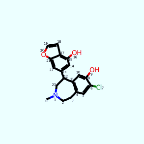 CN1CCc2cc(Cl)c(O)cc2C(c2cc(O)c3ccoc3c2)C1